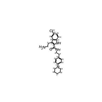 NCCc1c(C(=O)NCCc2ccc(N3CCCCC3)cc2)[nH]c2ccc(Cl)cc12